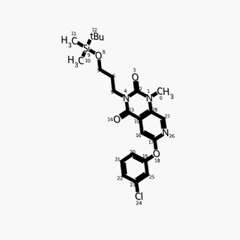 Cn1c(=O)n(CCCO[Si](C)(C)C(C)(C)C)c(=O)c2cc(Oc3cccc(Cl)c3)ncc21